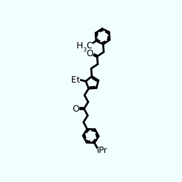 CCC1C(CCC(=O)CCc2ccc(C(C)C)cc2)=CC=C1CCC(=O)Cc1ccccc1C